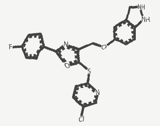 Fc1ccc(-c2nc(COc3ccc4c(c3)CNN4)c(Sc3ccc(Cl)cn3)o2)cc1